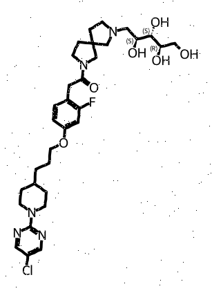 O=C(Cc1ccc(OCCCC2CCN(c3ncc(Cl)cn3)CC2)cc1F)N1CCC2(CCN(C[C@H](O)[C@H](O)[C@H](O)CO)C2)C1